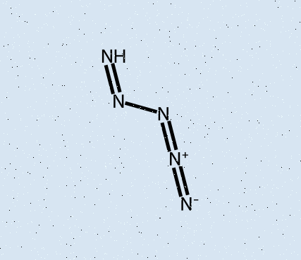 [N-]=[N+]=NN=N